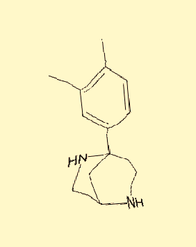 Cc1ccc(C23CNC(CN2)C3)cc1C